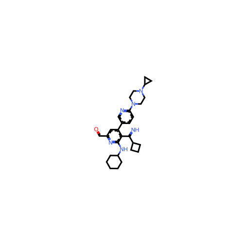 N=C(c1c(-c2ccc(N3CCN(C4CC4)CC3)nc2)cc(C=O)nc1NC1CCCCC1)C1CCC1